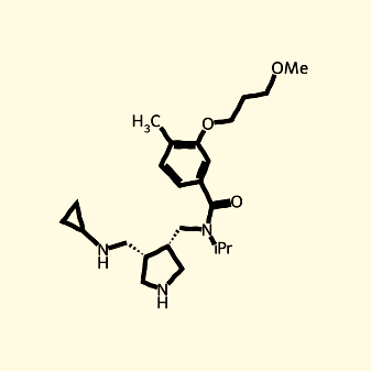 COCCCOc1cc(C(=O)N(C[C@@H]2CNC[C@@H]2CNC2CC2)C(C)C)ccc1C